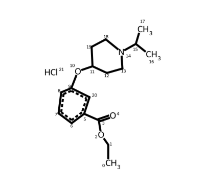 CCOC(=O)c1cccc(OC2CCN(C(C)C)CC2)c1.Cl